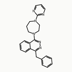 c1ccc(Cc2nnc(N3CCCN(c4ncccn4)CC3)c3ccccc23)cc1